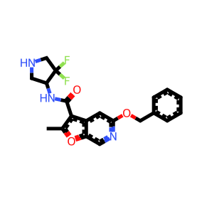 Cc1oc2cnc(OCc3ccccc3)cc2c1C(=O)NC1CNCC1(F)F